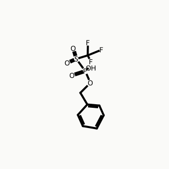 O=P(O)(OCc1ccccc1)S(=O)(=O)C(F)(F)F